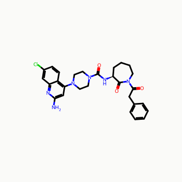 Nc1cc(N2CCN(C(=O)N[C@H]3CCCCN(C(=O)Cc4ccccc4)C3=O)CC2)c2ccc(Cl)cc2n1